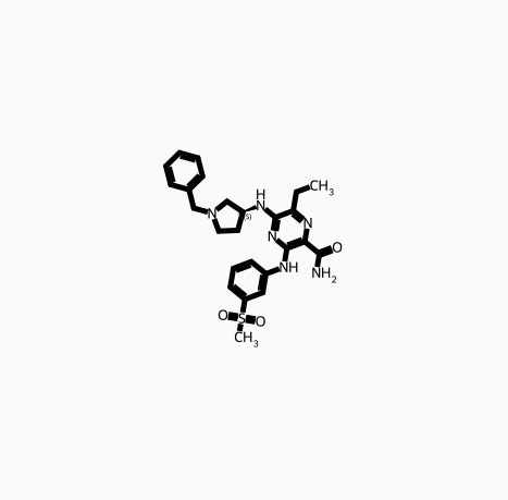 CCc1nc(C(N)=O)c(Nc2cccc(S(C)(=O)=O)c2)nc1N[C@H]1CCN(Cc2ccccc2)C1